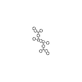 c1ccc(-c2cc3cc4c(cc3n2-c2ccc(N(c3ccccc3)c3ccc5ccccc5c3)cc2)CC(c2ccccc2)N4c2ccc(N(c3ccccc3)c3ccc4ccccc4c3)cc2)cc1